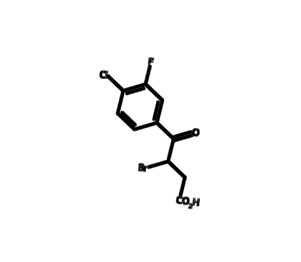 O=C(O)CC(Br)C(=O)c1ccc(Cl)c(F)c1